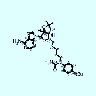 CC1(C)O[C@@H]2[C@H](O1)[C@@H](CSCCCN(C(N)=O)c1ccc(C(C)(C)C)cc1)O[C@H]2n1cnc2c(N)ncnc21